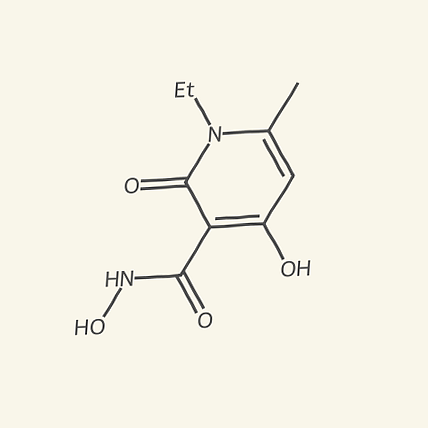 CCn1c(C)cc(O)c(C(=O)NO)c1=O